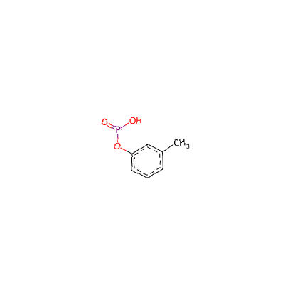 Cc1cccc(O[P](=O)O)c1